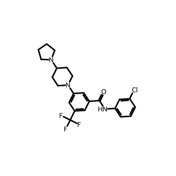 O=C(Nc1cccc(Cl)c1)c1cc(N2CCC(N3CCCC3)CC2)cc(C(F)(F)F)c1